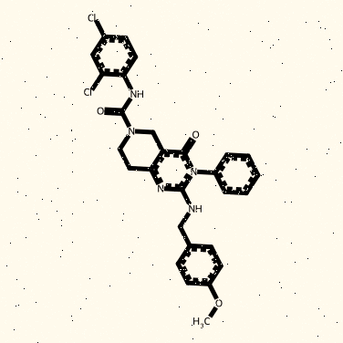 COc1ccc(CNc2nc3c(c(=O)n2-c2ccccc2)CN(C(=O)Nc2ccc(Cl)cc2Cl)CC3)cc1